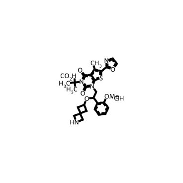 COc1ccccc1C(Cn1c(=O)n(C(C)(C)C(=O)O)c(=O)c2c(C)c(-c3ncco3)sc21)OC1CC2(CNC2)C1.Cl